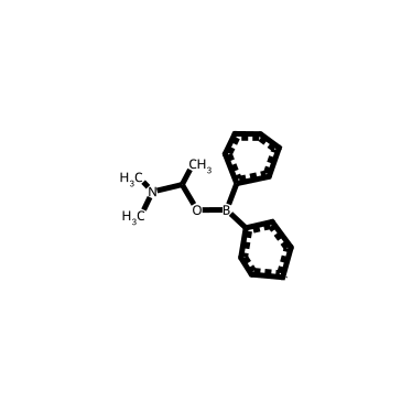 CC(OB(c1cc[c]cc1)c1ccccc1)N(C)C